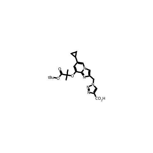 CC(C)(C)OC(=O)C(C)(C)Oc1cc(C2CC2)cn2cc(Cn3cc(C(=O)O)nn3)nc12